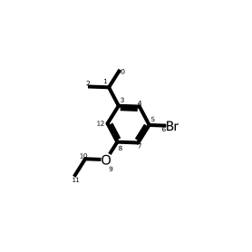 [CH2]C(C)c1cc(Br)cc(OCC)c1